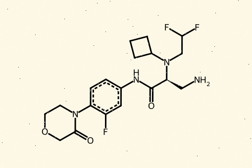 NC[C@@H](C(=O)Nc1ccc(N2CCOCC2=O)c(F)c1)N(CC(F)F)C1CCC1